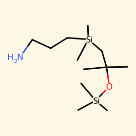 CC(C)(C[Si](C)(C)CCCN)O[Si](C)(C)C